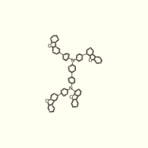 c1ccc2c(c1)oc1ccc(-c3ccc(N(c4ccc(-c5ccc(N(c6ccc(-c7ccc8oc9ccccc9c8c7)cc6)c6cccc7c6oc6ccccc67)cc5)cc4)c4ccc(-c5cccc6c5oc5ccccc56)cc4)cc3)cc12